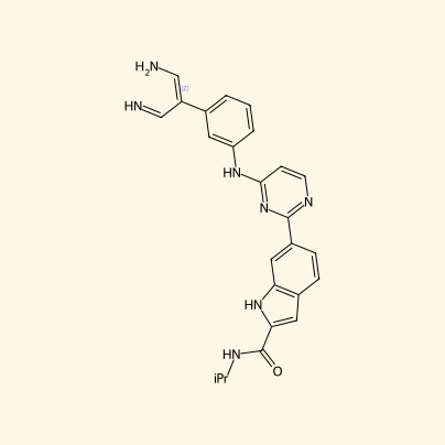 CC(C)NC(=O)c1cc2ccc(-c3nccc(Nc4cccc(/C(C=N)=C/N)c4)n3)cc2[nH]1